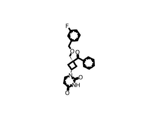 O=c1ccn([C@H]2C[C@](COCc3cccc(F)c3)(C(=O)c3ccccc3)C2)c(=O)[nH]1